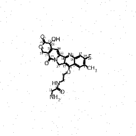 Cc1cc2c(OCCNC(=O)CN)c3c(nc2cc1F)-c1cc2c(c(=O)n1C3)COC(=O)[C@H]2O